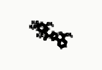 CC(=O)c1ccccc1-c1nc(C(=O)N2C[C@]3(C)CC(C)(C)C[C@@]2(C)C3)cs1